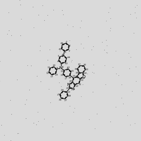 c1ccc(-c2ccc(N(c3ccccc3)c3ccc(-c4c5nc(-c6ccccc6)sc5cc5oc6ccccc6c45)cc3)cc2)cc1